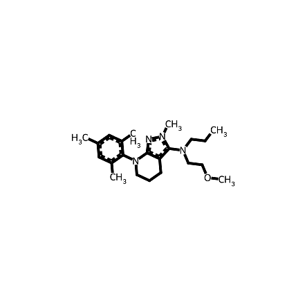 CCCN(CCOC)c1c2c(nn1C)N(c1c(C)cc(C)cc1C)CCC2